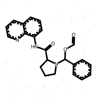 O=COC(c1ccccc1)N1CCCC1C(=O)Nc1cccc2cccnc12